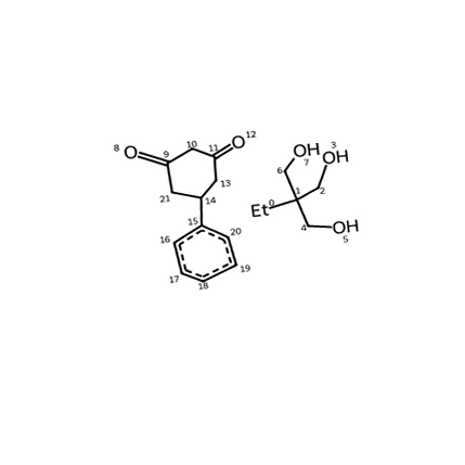 CCC(CO)(CO)CO.O=C1CC(=O)CC(c2ccccc2)C1